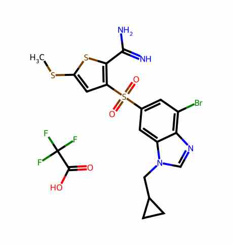 CSc1cc(S(=O)(=O)c2cc(Br)c3ncn(CC4CC4)c3c2)c(C(=N)N)s1.O=C(O)C(F)(F)F